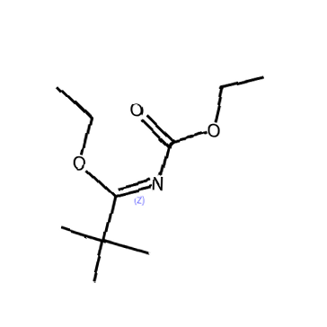 CCOC(=O)/N=C(\OCC)C(C)(C)C